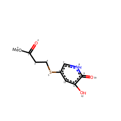 COC(=O)CCSc1c[nH]c(=O)c(O)c1